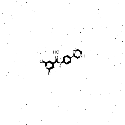 Cl.O=C(Nc1ccc([C@@H]2CNCCO2)cc1)c1cc(Cl)nc(Cl)c1